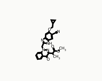 COC(=O)C(C)c1nn(Cc2nc3cc(OCC4CC4)c(C#N)cc3[nH]2)c2ccccc2c1=O